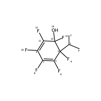 CC(C)C1(F)C(F)=C(F)C(F)=C(F)C1(O)F